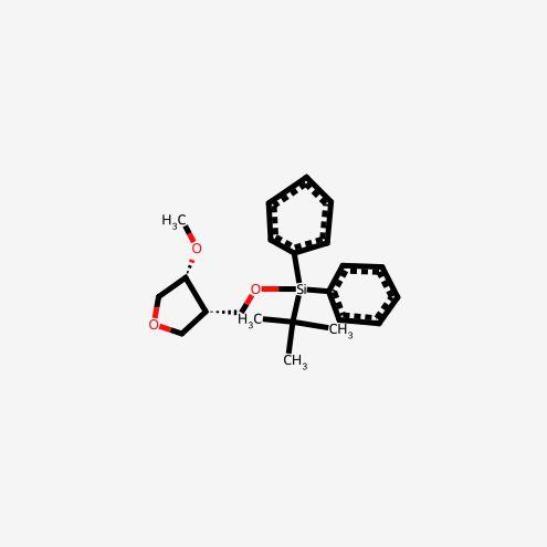 CO[C@H]1COC[C@H]1CO[Si](c1ccccc1)(c1ccccc1)C(C)(C)C